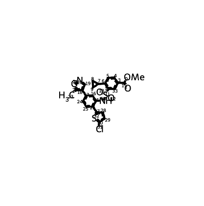 COC(=O)c1ccc(C2CC2)c(S(=O)(=O)Nc2cc(-c3cnoc3C)ccc2-c2ccc(Cl)s2)c1